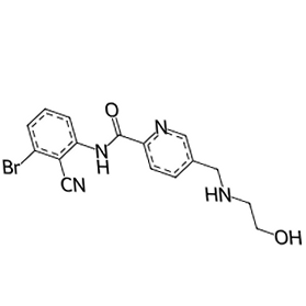 N#Cc1c(Br)cccc1NC(=O)c1ccc(CNCCO)cn1